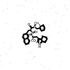 CCN(N[C@@H](Cc1c[nH]c2ccccc12)C(=O)O)C(Cc1ccc2ccccc2c1)C(=O)N(C)Cc1ccccc1